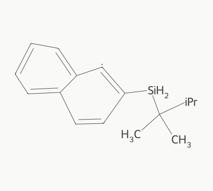 CC(C)C(C)(C)[SiH2]c1[c]c2ccccc2cc1